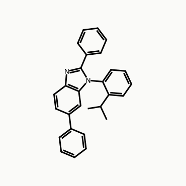 CC(C)c1ccccc1-n1c(-c2ccccc2)nc2ccc(-c3ccccc3)cc21